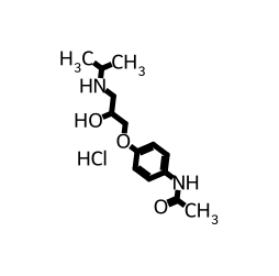 CC(=O)Nc1ccc(OCC(O)CNC(C)C)cc1.Cl